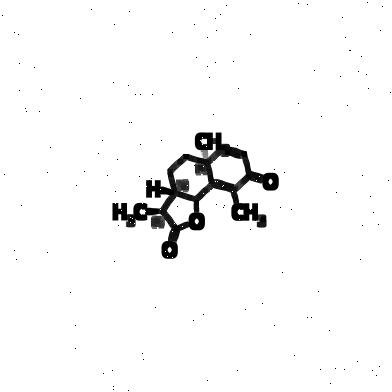 CC1=C2C3OC(=O)[C@@H](C)[C@@H]3CC[C@@]2(C)C=CC1=O